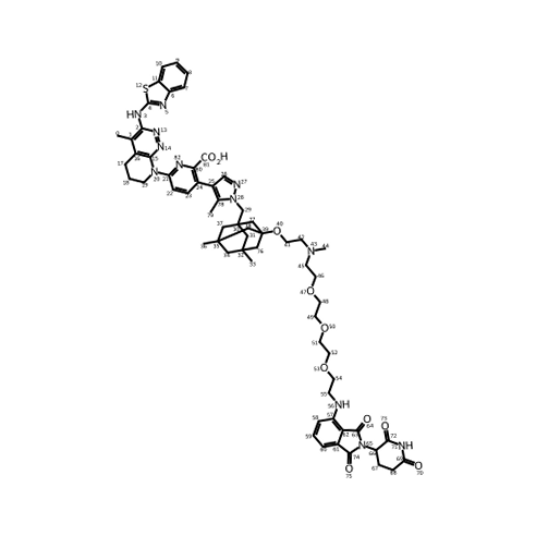 Cc1c(Nc2nc3ccccc3s2)nnc2c1CCCN2c1ccc(-c2cnn(CC34CC5(C)CC(C)(C3)CC(OCCN(C)CCOCCOCCOCCNc3cccc6c3C(=O)N(C3CCC(=O)NC3=O)C6=O)(C5)C4)c2C)c(C(=O)O)n1